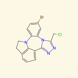 ClCc1nnc2n1-c1cc(Br)ccc1N1CCc3cccc-2c31